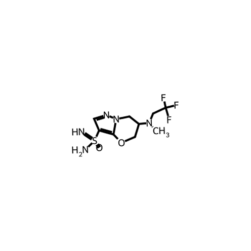 CN(CC(F)(F)F)C1COc2c(S(=N)(N)=O)cnn2C1